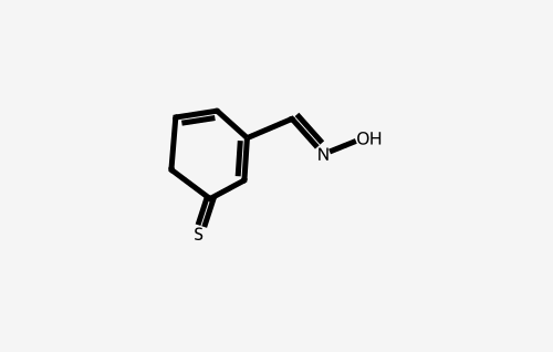 ON=CC1=CC(=S)CC=C1